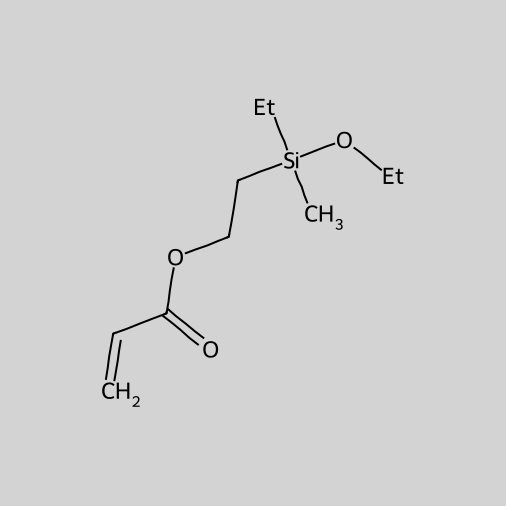 C=CC(=O)OCC[Si](C)(CC)OCC